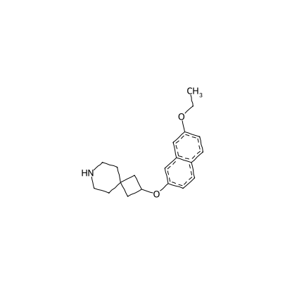 CCOc1ccc2ccc(OC3CC4(CCNCC4)C3)cc2c1